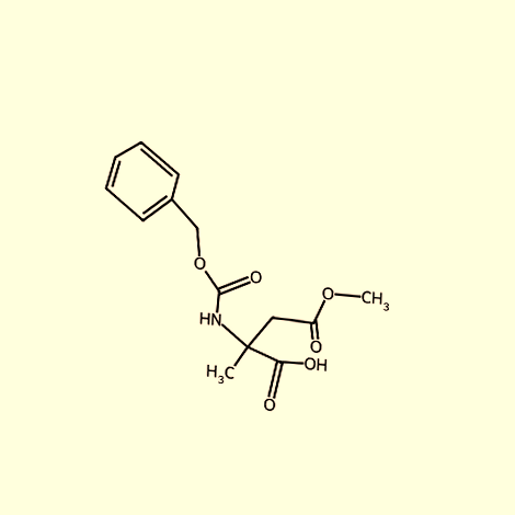 COC(=O)CC(C)(NC(=O)OCc1ccccc1)C(=O)O